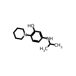 CC(C)Nc1ccc(N2CCCCC2)c(O)c1